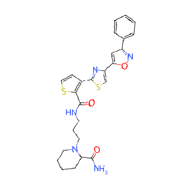 NC(=O)C1CCCCN1CCCNC(=O)c1sccc1-c1nc(-c2cc(-c3ccccc3)no2)cs1